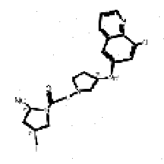 N#C[C@@H]1C[C@H](F)CN1C(=O)CN1CC[C@@H](Nc2cc(Cl)c3ncccc3c2)C1